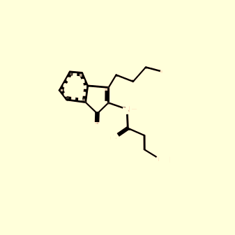 CCCC(=O)NC1=C(CCCCl)c2ccccc2C1=O